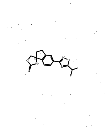 O=C1N[C@]2(CCc3cc(-c4noc(C(F)F)n4)ccc32)CO1